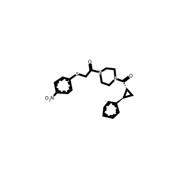 O=C(CSc1ccc([N+](=O)[O-])cc1)N1CCN(C(=O)[C@@H]2C[C@H]2c2ccccc2)CC1